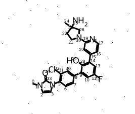 Cn1ccn(-c2ccc(-c3cc(F)cc(-c4ccnc(N5CCC(C)(N)C5)c4)c3O)cc2Cl)c1=O